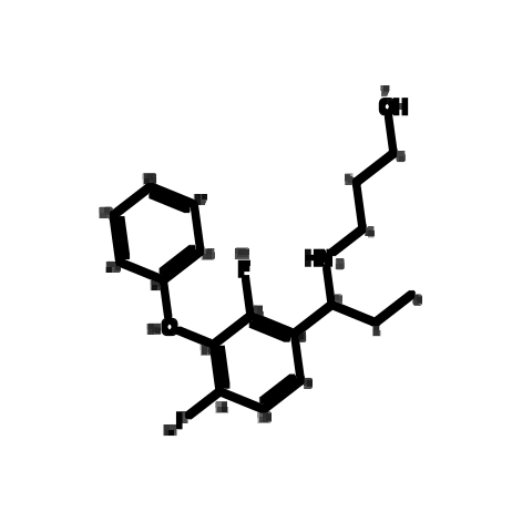 CCC(NCCCO)c1ccc(F)c(Oc2ccccc2)c1F